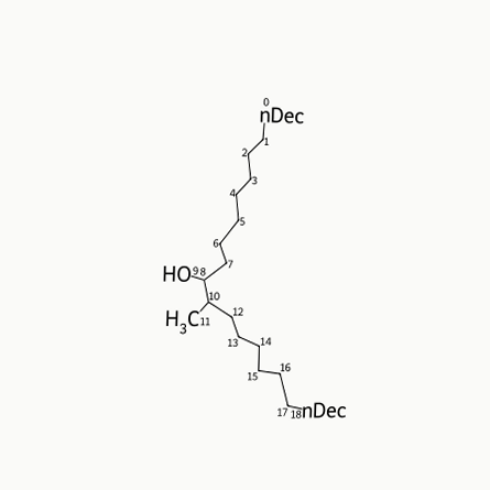 CCCCCCCCCCCCCCCCCC(O)C(C)CCCCCCCCCCCCCCCC